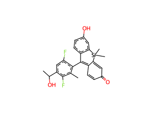 Cc1c(F)c(C(C)O)cc(F)c1C1=C2C=CC(=O)C=C2[Si](C)(C)c2cc(O)ccc21